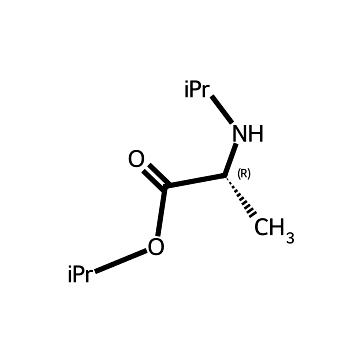 CC(C)N[C@H](C)C(=O)OC(C)C